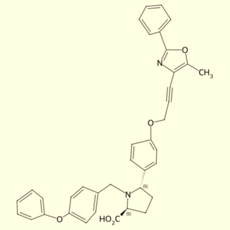 Cc1oc(-c2ccccc2)nc1C#CCOc1ccc([C@@H]2CC[C@@H](C(=O)O)N2Cc2ccc(Oc3ccccc3)cc2)cc1